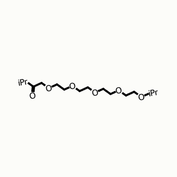 CC(C)OCCOCCOCCOCCOCC(=O)C(C)C